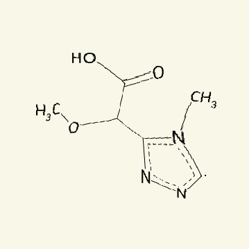 COC(C(=O)O)c1nn[c]n1C